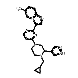 FC(F)(F)c1ccc2ncc(-c3nccc(N4CCN(CC5CC5)C(c5cn[nH]c5)C4)n3)n2c1